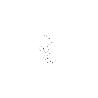 CC1(O)CC(NC(=O)OC(C)(C)C)(c2ccc(-c3nc4n(c3-c3ccccc3)COc3ccc(C(=O)O)cc3-4)cc2)C1